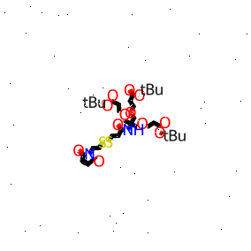 CC(C)(C)OC(=O)CCOCC(COCCC(=O)OC(C)(C)C)(COCCC(=O)OC(C)(C)C)NC(=O)CCSSCCN1C(=O)C=CC1=O